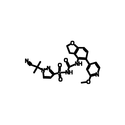 COc1cc(-c2ccc3c(c2NC(=O)NS(=O)(=O)c2ccn(C(C)(C)C#N)n2)CCO3)ccn1